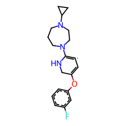 Fc1cccc(OC2=C[C]=C(N3CCCN(C4CC4)CC3)NC2)c1